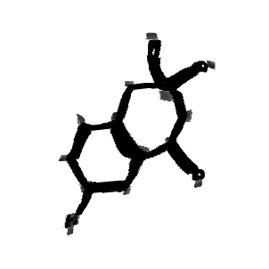 CCc1ccc2c(c1)C(=O)CS(=O)(=O)C2